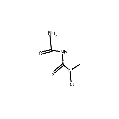 CCN(C)C(=S)NC(N)=O